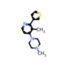 Cc1c(N2CCN(C)CC2)ccnc1-c1ccsc1